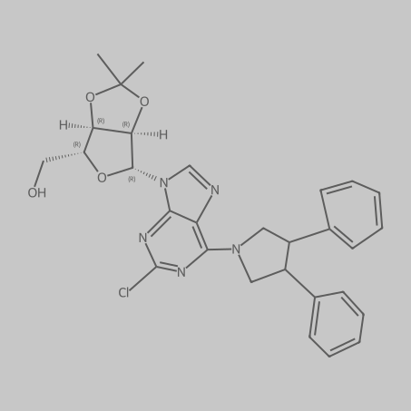 CC1(C)O[C@@H]2[C@H](O1)[C@@H](CO)O[C@H]2n1cnc2c(N3CC(c4ccccc4)C(c4ccccc4)C3)nc(Cl)nc21